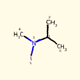 CC(C)N(C)I